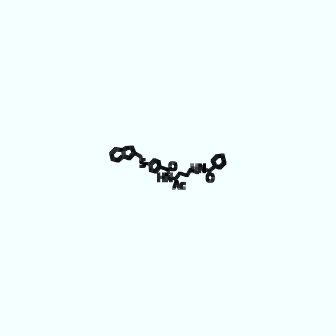 CC(=O)C(CCCCNC(=O)c1ccccc1)NC(=O)c1ccc(SCc2ccc3ccccc3c2)cc1